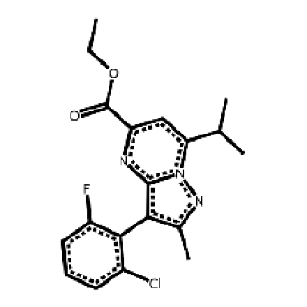 CCOC(=O)c1cc(C(C)C)n2nc(C)c(-c3c(F)cccc3Cl)c2n1